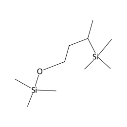 CC(CCO[Si](C)(C)C)[Si](C)(C)C